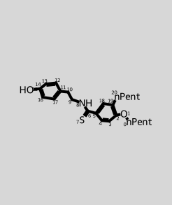 CCCCCOc1ccc(C(=S)NCCc2ccc(O)cc2)cc1CCCCC